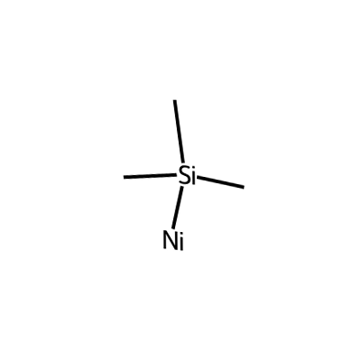 C[Si](C)(C)[Ni]